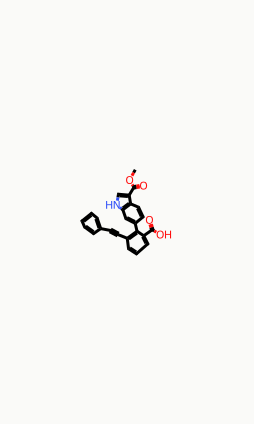 COC(=O)c1c[nH]c2cc(-c3c(C#Cc4ccccc4)cccc3C(=O)O)ccc12